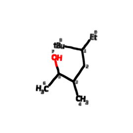 CCC(CC(C)C(C)O)C(C)(C)C